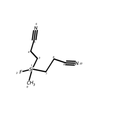 C[Si](F)(CCC#N)CCC#N